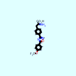 N[C@@H](Cc1ccc(-c2noc(-c3ccc(OC(F)(F)F)cc3)n2)cc1)C(=O)O